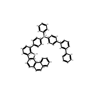 c1ccc(-c2cccc(-c3ccc(N(c4ccccc4)c4ccc(-c5cccc6c5sc5c6ccc6ccc7ccccc7c65)cc4)cc3)c2)cc1